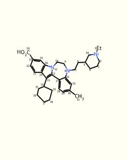 CCN1CCCC(CCN2CCn3c(c(C4CCCCC4)c4ccc(C(=O)O)cc43)-c3ccc(C)cc32)C1